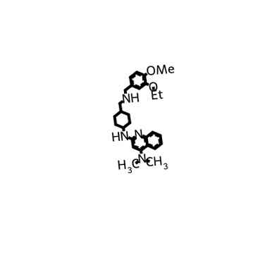 CCOc1cc(CNCC2CCC(Nc3cc(N(C)C)c4ccccc4n3)CC2)ccc1OC